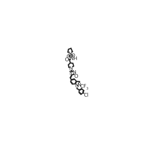 O=C1N=C(N2CCC(C(=O)NS(=O)(=O)N3CCCC3)CC2)SC1=Cc1ccc2c(cnn2Cc2ccc(Cl)cc2C(F)(F)F)c1